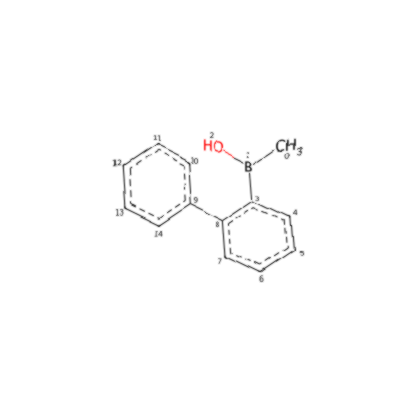 CB(O)c1ccccc1-c1ccccc1